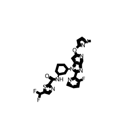 Cn1ccc(Oc2cc3c(cn2)nc(-c2ncccc2F)n3[C@@H]2CCC[C@H](NC(=O)c3ncc(C(F)F)s3)C2)n1